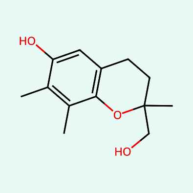 Cc1c(O)cc2c(c1C)OC(C)(CO)CC2